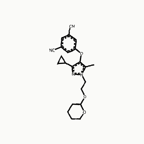 Cc1c(Oc2cc(C#N)cc(C#N)c2)c(C2CC2)nn1CCOC1CCCCO1